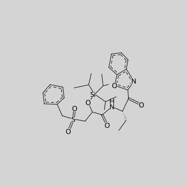 CC[C@H](NC(=O)C(CS(=O)(=O)Cc1ccccc1)O[Si](C(C)C)(C(C)C)C(C)C)C(=O)c1nc2ccccc2o1